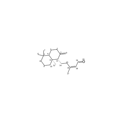 C=C1CCC2C(C)(C)CCC[C@]2(C)[C@H]1CC/C(C)=C\C=O